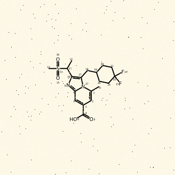 Cc1cc(C(=O)O)cc2nc(C(C)S(C)(=O)=O)c(CC3CCC(F)(F)CC3)n12